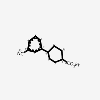 CCOC(=O)C1CCC(c2cccc(C#N)c2)CC1